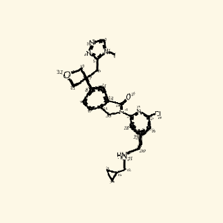 Cn1cnnc1CC1(c2ccc3c(c2)C(=O)N(c2cc(CNCC4CC4)cc(Cl)n2)C3)COC1